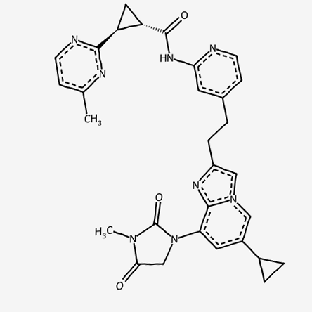 Cc1ccnc([C@H]2C[C@@H]2C(=O)Nc2cc(CCc3cn4cc(C5CC5)cc(N5CC(=O)N(C)C5=O)c4n3)ccn2)n1